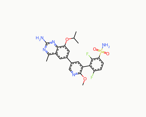 COc1ncc(-c2cc(OC(C)C)c3nc(N)nc(C)c3c2)cc1-c1c(F)ccc(S(N)(=O)=O)c1F